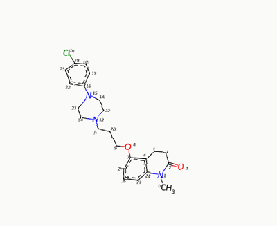 CN1C(=O)CCc2c(OCCCN3CCN(c4ccc(Cl)cc4)CC3)cccc21